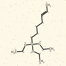 CC=CCCCC[Si](OCC)(OCC)OCC